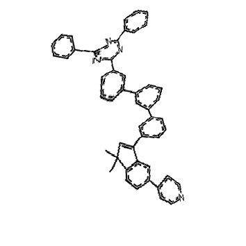 CC1(C)C=C(c2cccc(-c3cccc(-c4cccc(-c5nc(-c6ccccc6)nc(-c6ccccc6)n5)c4)c3)c2)c2cc(-c3ccncc3)ccc21